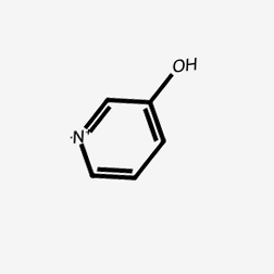 OC1=CC=C[N+]=C1